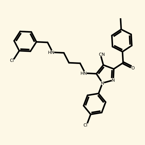 Cc1ccc(C(=O)c2nn(-c3ccc(Cl)cc3)c(NCCCNCc3cccc(Cl)c3)c2C#N)cc1